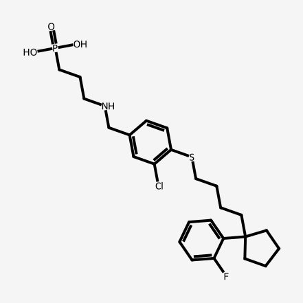 O=P(O)(O)CCCNCc1ccc(SCCCCC2(c3ccccc3F)CCCC2)c(Cl)c1